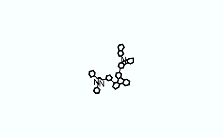 c1ccc(-c2cc(-c3cccc(-c4cccc5c6ccccc6c6cc(-c7ccc8c(c7)c7ccccc7n8-c7ccc8ccccc8c7)ccc6c45)c3)nc(-c3ccccc3)n2)cc1